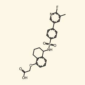 Cc1cc(-c2ccc(S(=O)(=O)NC3CCCc4c(OCC(=O)O)cccc43)cc2)cnc1F